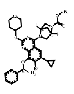 C[C@H](Oc1c(Br)c(C2CC2)cc2c(N3C[C@@H]4C[C@H]3CN4C(=O)OC(C)(C)C)nc(OC3CCOCC3)nc12)c1ccccc1